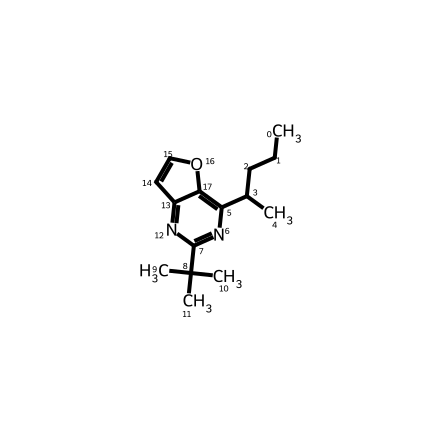 CCCC(C)c1nc(C(C)(C)C)nc2ccoc12